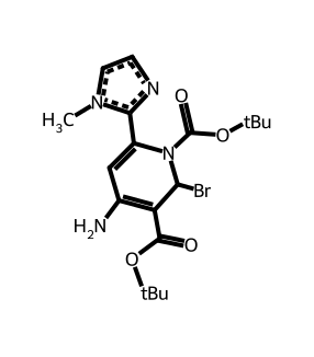 Cn1ccnc1C1=CC(N)=C(C(=O)OC(C)(C)C)C(Br)N1C(=O)OC(C)(C)C